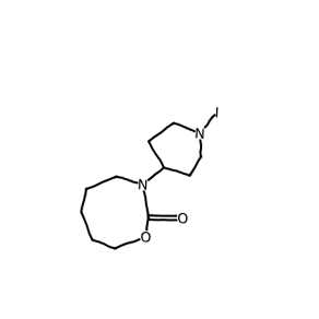 O=C1OCCCCCN1C1CCN(I)CC1